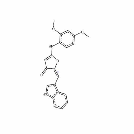 COc1ccc(NC2=CC(=O)/C(=C\c3c[nH]c4ncccc34)O2)c(OC)c1